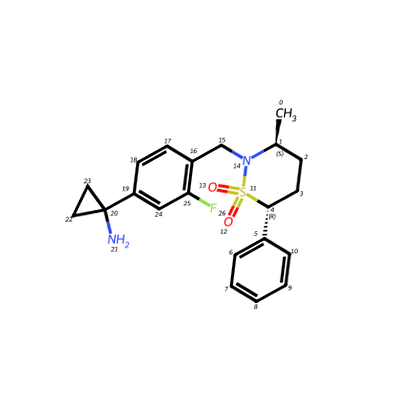 C[C@H]1CC[C@H](c2ccccc2)S(=O)(=O)N1Cc1ccc(C2(N)CC2)cc1F